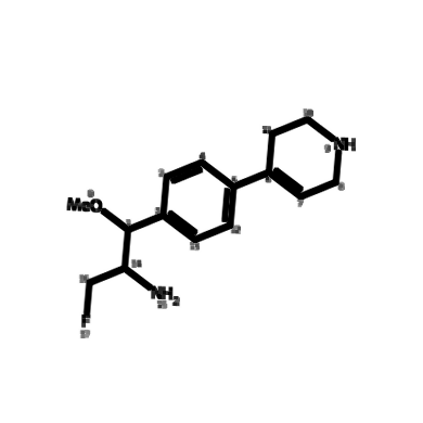 COC(c1ccc(C2=CCNCC2)cc1)C(N)CF